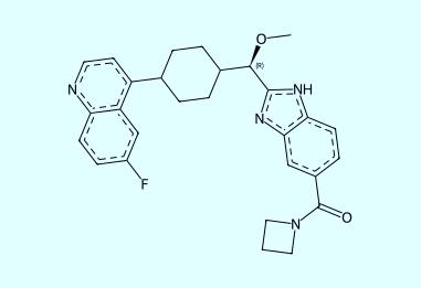 CO[C@@H](c1nc2cc(C(=O)N3CCC3)ccc2[nH]1)C1CCC(c2ccnc3ccc(F)cc23)CC1